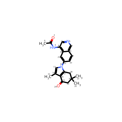 CC(=O)Nc1cncc2ccc(-n3cc(C)c4c3CC(C)(C)CC4=O)cc12